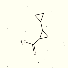 CC(=O)C1CC1C1CC1